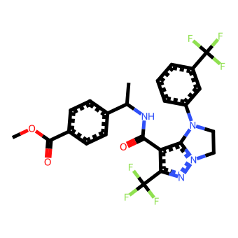 COC(=O)c1ccc(C(C)NC(=O)c2c(C(F)(F)F)nn3c2N(c2cccc(C(F)(F)F)c2)CC3)cc1